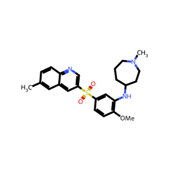 COc1ccc(S(=O)(=O)c2cnc3ccc(C)cc3c2)cc1NC1CCCN(C)CC1